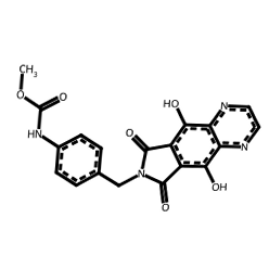 COC(=O)Nc1ccc(CN2C(=O)c3c(c(O)c4nccnc4c3O)C2=O)cc1